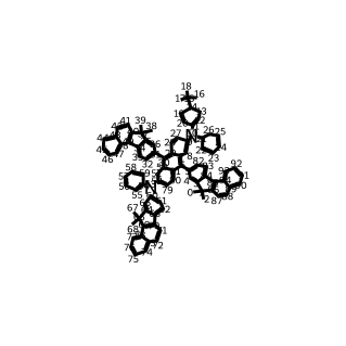 CC1(C)c2cc(C3=c4cc(N(C5=CCC(C(C)(C)C)C=C5)C5C=CC=CC5)ccc4=C(c4ccc5c(c4)C(C)(C)c4ccc6ccccc6c4-5)C4CC(N(c5ccccc5)c5ccc6c(c5)C(C)(C)c5c-6ccc6ccccc56)=CC=C34)ccc2-c2c1ccc1ccccc21